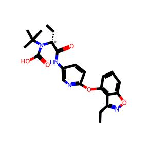 CCc1noc2cccc(Oc3ccc(NC(=O)[C@@H](CC)N(C(=O)O)C(C)(C)C)cn3)c12